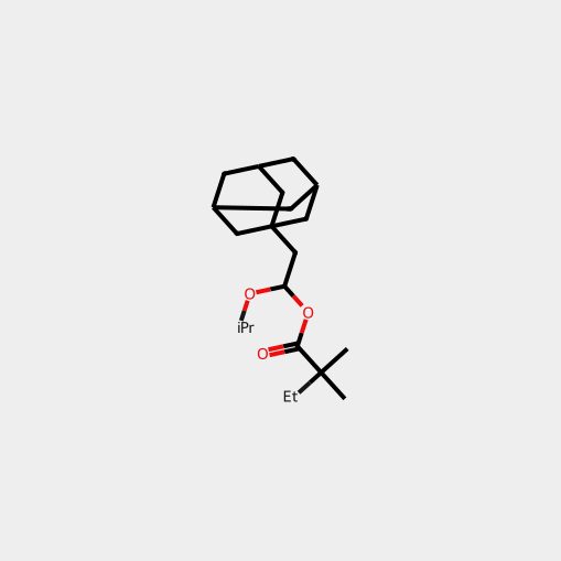 CCC(C)(C)C(=O)OC(CC12CC3CC(CC(C3)C1)C2)OC(C)C